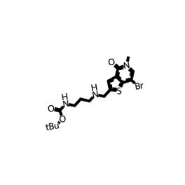 Cn1cc(Br)c2sc(CNCCCNC(=O)OC(C)(C)C)cc2c1=O